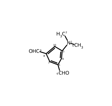 CN(C)c1cc(C=O)cc(C=O)c1